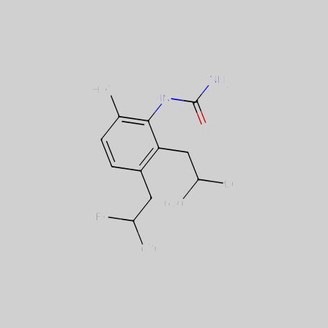 CCCCC(CC)Cc1ccc(C)c(NC(N)=O)c1CC(CC)CCCC